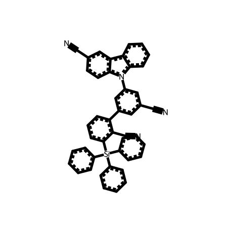 N#Cc1cc(-c2cccc([Si](c3ccccc3)(c3ccccc3)c3ccccc3)c2C#N)cc(-n2c3ccccc3c3cc(C#N)ccc32)c1